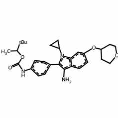 CC(OC(=O)Nc1ccc(-c2c(N)c3ccc(OC4CCOCC4)cc3n2C2CC2)cc1)C(C)(C)C